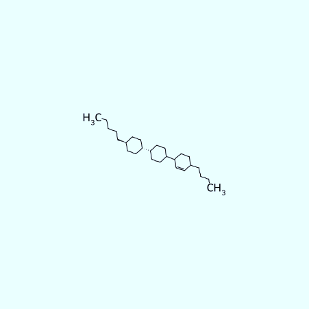 CCCCC[C@H]1CC[C@H](C2CCC(C3C=CC(CCCC)CC3)CC2)CC1